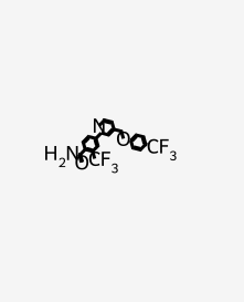 NC(=O)c1ccc(-c2cc(COc3ccc(C(F)(F)F)cc3)ccn2)cc1C(F)(F)F